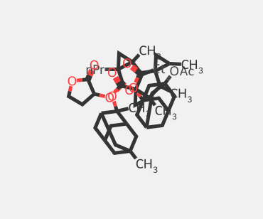 CCCC1(C(=O)OC2(C)C3CC4CC2CC(C)(C4)C3)CC1(C)C(CC)C1(C(=O)OC2CCOC2=O)CC1(C)C(C)C1(C(=O)OC23CC4CC(CC(OC(C)=O)(C4)C2)C3)CC1C